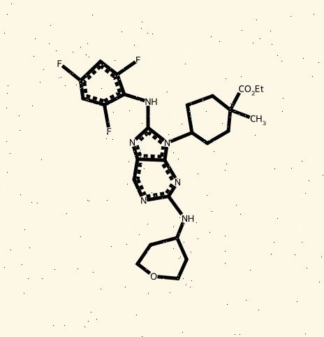 CCOC(=O)C1(C)CCC(n2c(Nc3c(F)cc(F)cc3F)nc3cnc(NC4CCOCC4)nc32)CC1